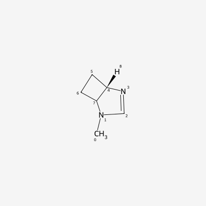 CN1C=N[C@H]2CCC21